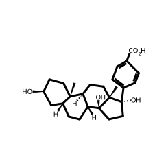 C[C@]12CC[C@H](O)C[C@H]1CC[C@@H]1[C@@H]2CC[C@]2(C)[C@@](O)(c3ccc(C(=O)O)cc3)CC[C@]12O